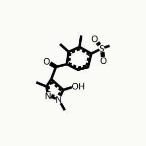 Cc1nn(C)c(O)c1C(=O)c1ccc(S(C)(=O)=O)c(C)c1C